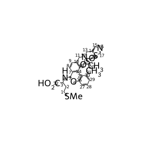 CSCCC(NC(=O)c1ccc(CN(Cc2cncs2)S(C)(=O)=O)cc1-c1ccccc1C)C(=O)O